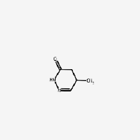 CC1C=NNC(=O)C1